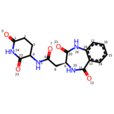 O=C1CCC(NC(=O)C[C@@H]2NC(=O)c3ccccc3NC2=O)C(=O)N1